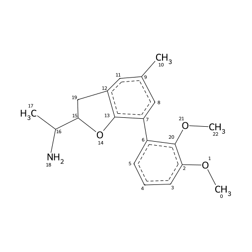 COc1cccc(-c2cc(C)cc3c2OC(C(C)N)C3)c1OC